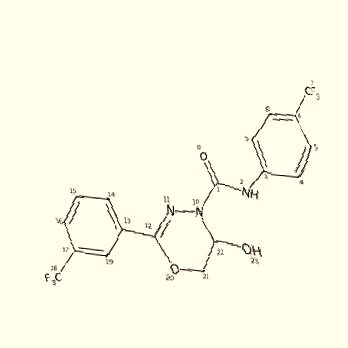 O=C(Nc1ccc(C(F)(F)F)cc1)N1N=C(c2cccc(C(F)(F)F)c2)OCC1O